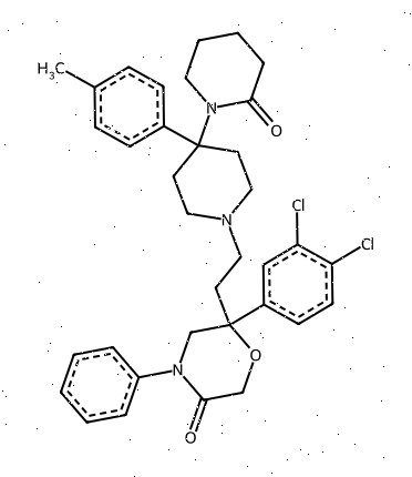 Cc1ccc(C2(N3CCCCC3=O)CCN(CCC3(c4ccc(Cl)c(Cl)c4)CN(c4ccccc4)C(=O)CO3)CC2)cc1